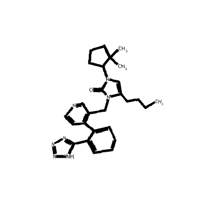 CCCCc1cn(C2CCCC2(C)C)c(=O)n1Cc1cnccc1-c1ccccc1-c1nnn[nH]1